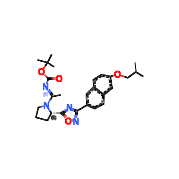 C/C(=N\C(=O)OC(C)(C)C)N1CCC[C@H]1c1nc(-c2ccc3cc(OCC(C)C)ccc3c2)no1